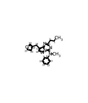 CCCc1nc(N(C)c2ccccc2)n2ncc(Cc3ccoc3)c2n1